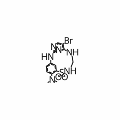 CN(C)c1ccc2cc1S(=O)(=O)NCCCNc1nc(ncc1Br)N2